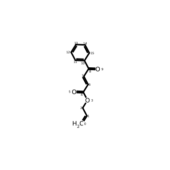 C=CCOC(=O)C=CC(=O)c1ccccc1